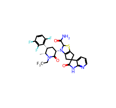 C[C@@H]1[C@H](c2c(F)ccc(F)c2F)C[C@H](N2C3=C(CC4(C3)C(=O)Nc3ncccc34)SC2C(N)=O)C(=O)N1CC(F)(F)F